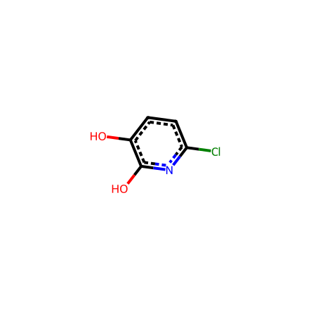 Oc1ccc(Cl)nc1O